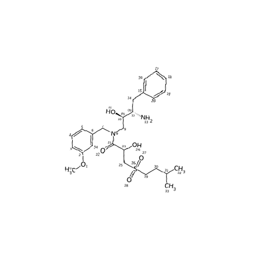 COc1cccc(CN(C[C@@H](O)[C@@H](N)Cc2ccccc2)C(=O)C(O)CS(=O)(=O)CCC(C)C)c1